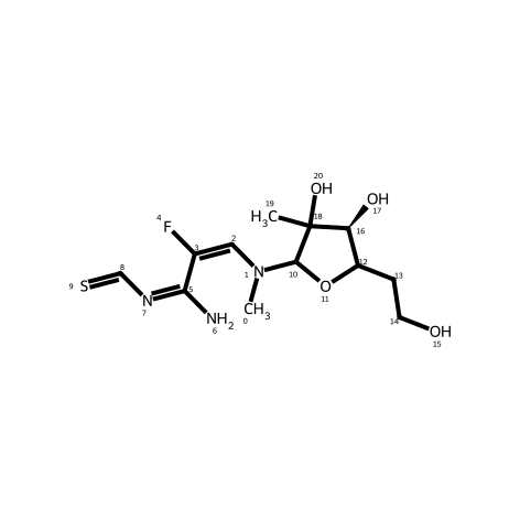 CN(/C=C(F)\C(N)=N/C=S)C1OC(CCO)[C@H](O)C1(C)O